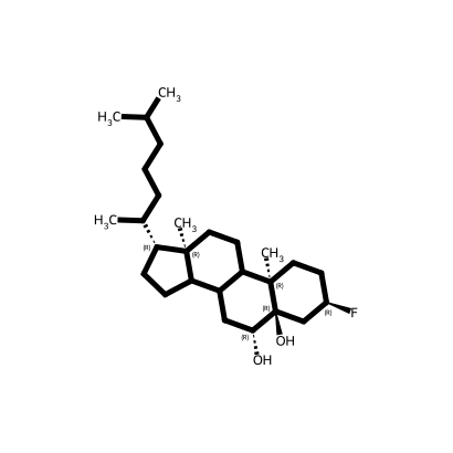 CC(C)CCCC(C)[C@H]1CCC2C3C[C@@H](O)[C@@]4(O)C[C@H](F)CC[C@]4(C)C3CC[C@@]21C